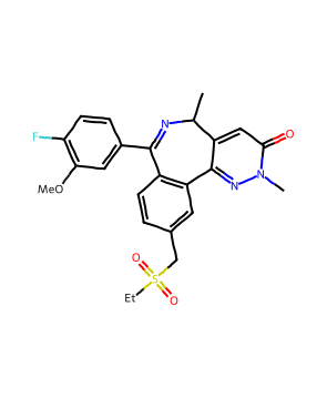 CCS(=O)(=O)Cc1ccc2c(c1)-c1nn(C)c(=O)cc1C(C)N=C2c1ccc(F)c(OC)c1